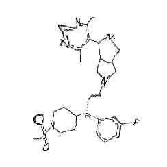 Cc1ncnc(C)c1C1[N]CC2CN(CC[C@H](c3cccc(F)c3)C3CCN(S(C)(=O)=O)CC3)CC21